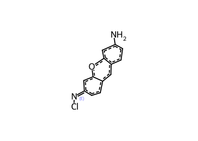 Nc1ccc2cc3cc/c(=N\Cl)cc-3oc2c1